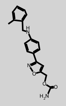 Cc1ccccc1CNc1ccc(-c2cc(COC(N)=O)on2)cc1